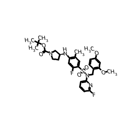 COc1ccc(CN(c2cccc(F)n2)S(=O)(=O)c2cc(C)c(N[C@H]3CCN(C(=O)OC(C)(C)C)C3)cc2F)c(OC)c1